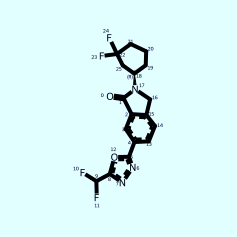 O=C1c2cc(-c3nnc(C(F)F)o3)ccc2CN1[C@@H]1CCCC(F)(F)C1